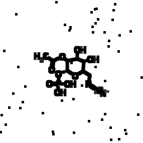 CC(=O)O[C@H]1C(O)[C@H](O)C(CN=[N+]=[N-])O[C@@H]1OP(=O)(O)O